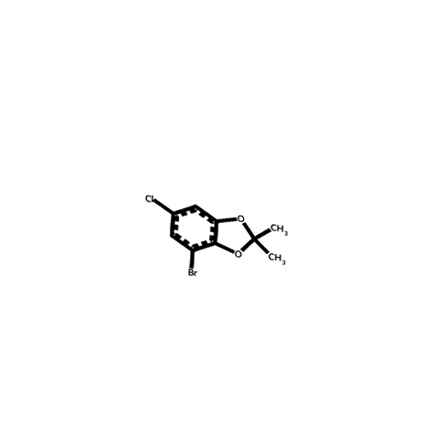 CC1(C)Oc2cc(Cl)cc(Br)c2O1